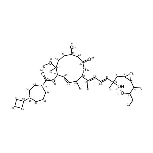 CCC(O)C(C)C1OC1CC(C)(O)/C=C/C=C(\C)C1OC(=O)CC(O)CCC(C)(OC)C(OC(=O)N2CCCN(C3CCC3)CC2)/C=C/C1C